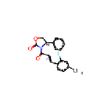 Cc1ccc(/C=C/C(=O)N2C(=O)OC[C@H]2c2ccccc2)c(F)c1